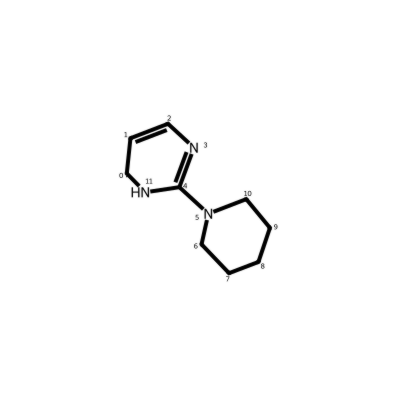 [CH]1C=CN=C(N2CCCCC2)N1